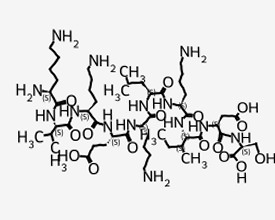 CC[C@H](C)[C@H](NC(=O)[C@H](CCCCN)NC(=O)[C@H](CC(C)C)NC(=O)[C@H](CCCCN)NC(=O)[C@H](CCC(=O)O)NC(=O)[C@H](CCCCN)NC(=O)[C@@H](NC(=O)[C@@H](N)CCCCN)C(C)C)C(=O)N[C@@H](CC(=O)O)C(=O)N[C@@H](CO)C(=O)O